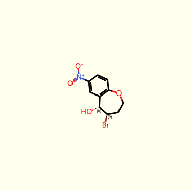 O=[N+]([O-])c1ccc2c(c1)[C@@H](O)[C@H](Br)CCO2